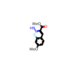 COC(=O)/C(=C/c1ccc(OC)cc1F)N=N